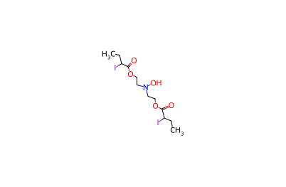 CCC(I)C(=O)OCCN(O)CCOC(=O)C(I)CC